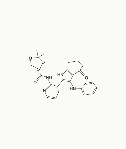 CC1(C)OC[C@@H](C(=O)Nc2ncccc2-c2[nH]c3c(c2Nc2ccccc2)C(=O)CCC3)O1